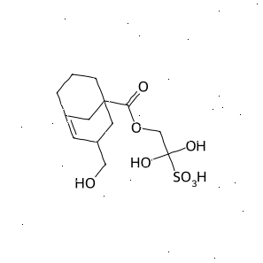 O=C(OCC(O)(O)S(=O)(=O)O)C12CCCC(=CC(CO)C1)C2